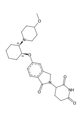 COC1CCN([C@@H]2CCCC[C@@H]2Oc2ccc3c(c2)CN(C2CCC(=O)NC2=O)C3=O)CC1